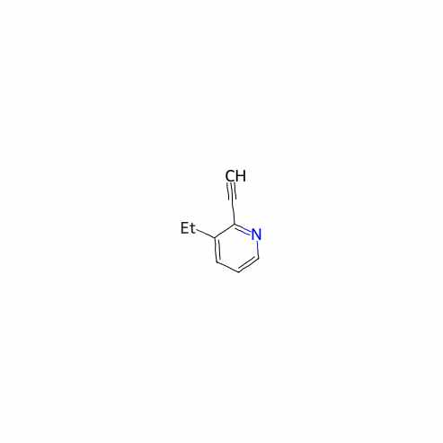 C#Cc1ncccc1CC